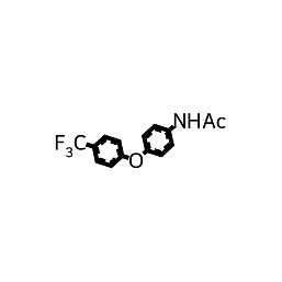 CC(=O)Nc1ccc(Oc2ccc(C(F)(F)F)cc2)cc1